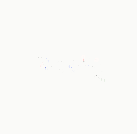 CS(=O)(=NC(=O)c1cnn(-c2ccc(-c3noc(C(F)(F)F)n3)cc2)c1)c1ccc(Cl)cc1